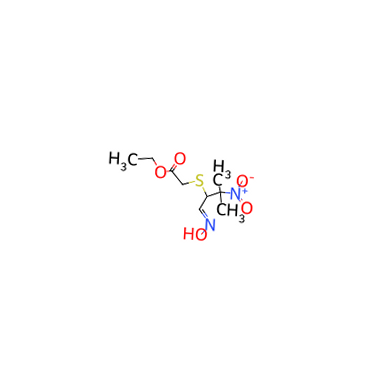 CCOC(=O)CSC(C=NO)C(C)(C)[N+](=O)[O-]